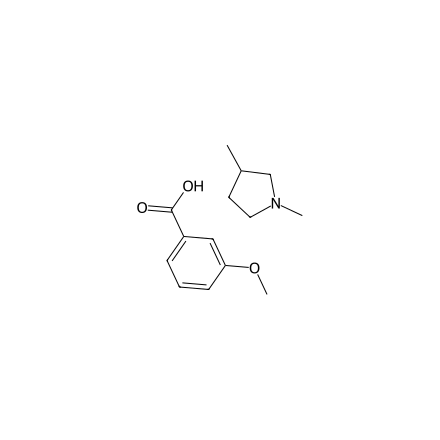 CC1CCN(C)C1.COc1cccc(C(=O)O)c1